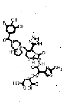 Nc1nc(/C(=N/O[C@@H](CC(=O)O)C(=O)O)C(=O)N[C@@H]2C(=O)N3C(c4nnn[nH]4)=C(C[N+]45CCC[C@H]4CN(C(=O)c4cc(O)c(O)c(F)c4)CC5)CS[C@H]23)cs1